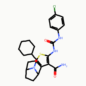 NC(=O)c1c(NC(=O)Nc2ccc(Cl)cc2)sc2c1C1CCC(C2)N1CC1CCCCC1